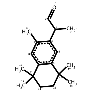 [CH2]C(C=O)c1cc2c(cc1C)C(C)(C)CCC2(C)C